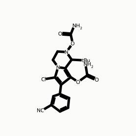 CC(C)(C)C1c2c(OC(N)=O)c(-c3cccc(C#N)c3)c(Cl)n2CCN1OC(N)=O